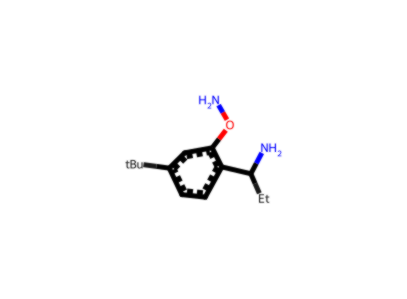 CCC(N)c1ccc(C(C)(C)C)cc1ON